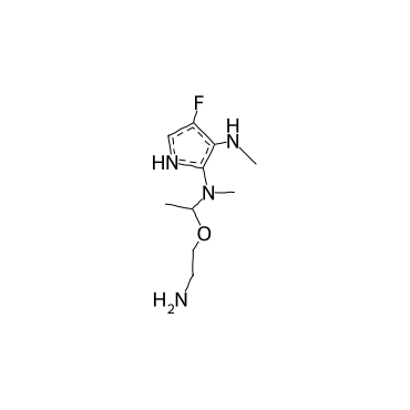 CNc1c(F)c[nH]c1N(C)C(C)OCCN